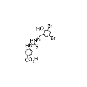 O=C(O)c1ccc(NC(=S)NN=Cc2cc(Br)cc(Br)c2O)cc1